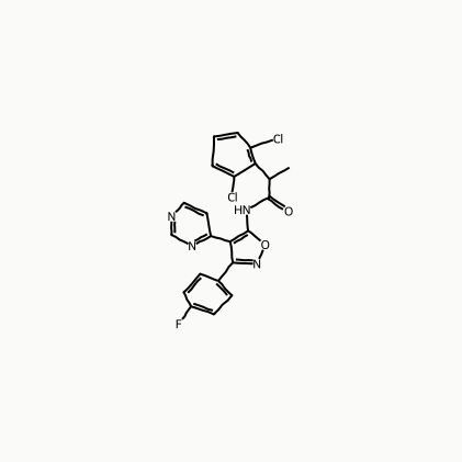 CC(C(=O)Nc1onc(-c2ccc(F)cc2)c1-c1ccncn1)c1c(Cl)cccc1Cl